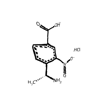 C[C@@H](N)c1ccc(C(=O)O)cc1[N+](=O)[O-].Cl